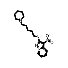 O=[N+]([O-])c1c(NCCCCCN2CCCCC2)nn2ccccc12